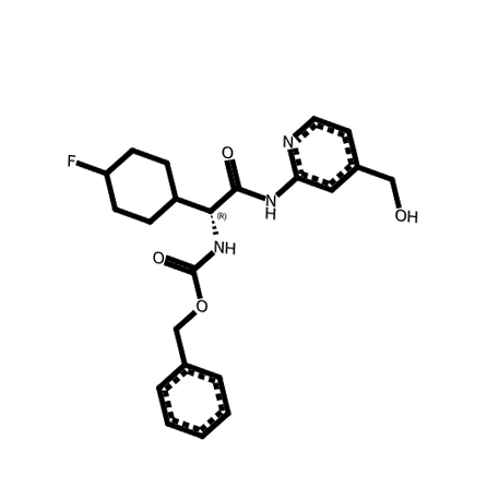 O=C(N[C@@H](C(=O)Nc1cc(CO)ccn1)C1CCC(F)CC1)OCc1ccccc1